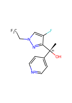 C[C@@](O)(c1ccncc1)c1nn(CC(F)(F)F)cc1F